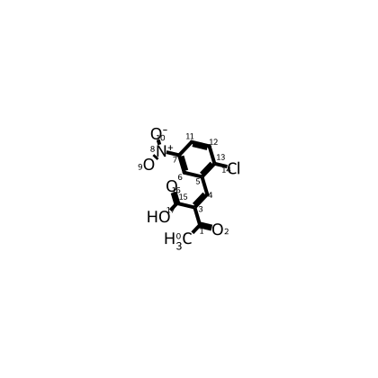 CC(=O)/C(=C/c1cc([N+](=O)[O-])ccc1Cl)C(=O)O